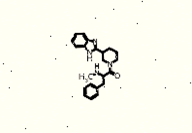 CNC(Cc1ccccc1)C(=O)N1CCCC(c2nc3ccccc3[nH]2)C1